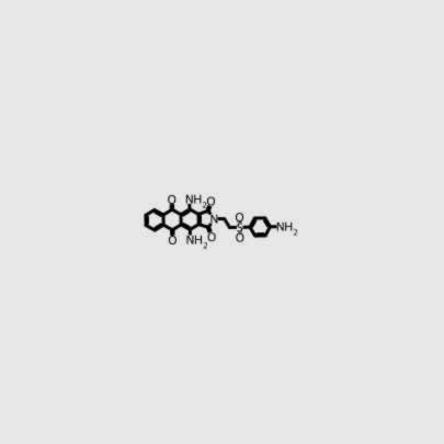 Nc1ccc(S(=O)(=O)CCn2c(=O)c3c(N)c4c(=O)c5ccccc5c(=O)c4c(N)c3c2=O)cc1